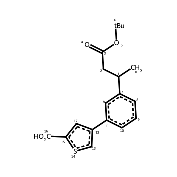 CC(CC(=O)OC(C)(C)C)c1cccc(-c2csc(C(=O)O)c2)c1